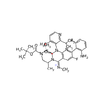 C/N=C(\c1cc(F)c(-c2c(N)cccc2F)nc1N(C=O)c1c(C)ccnc1C(C)C)N1C[C@@H](C)N(C(=O)OC(C)(C)C)CC1C